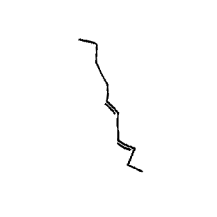 CCC=CC=CCCCC